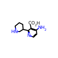 Nc1ccnc(C2CCCNC2)c1C(=O)O